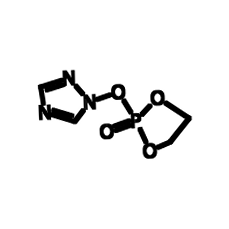 O=P1(On2cncn2)OCCO1